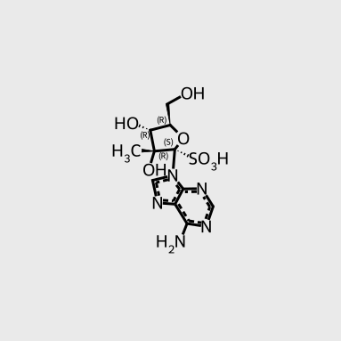 C[C@@]1(O)[C@H](O)[C@@H](CO)O[C@]1(n1cnc2c(N)ncnc21)S(=O)(=O)O